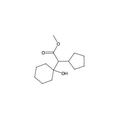 COC(=O)C(C1CCCC1)C1(O)CCCCC1